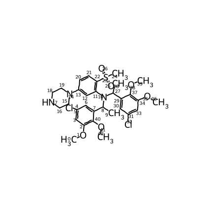 COc1cc(Cl)cc(C(C)N(c2cc(N3CCNCC3)ccc2S(C)(=O)=O)C(C)c2cc(Cl)cc(OC)c2OC)c1OC